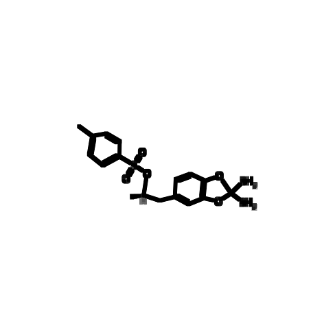 BC1(B)Oc2ccc(C[C@@H](C)OS(=O)(=O)c3ccc(C)cc3)cc2O1